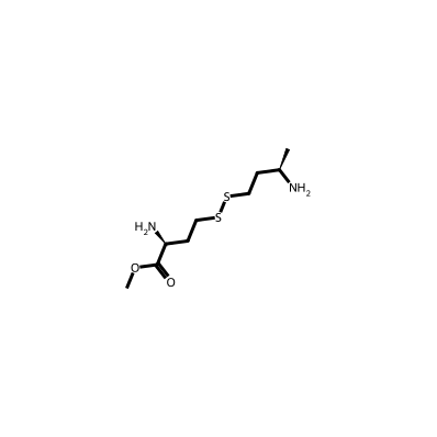 COC(=O)[C@@H](N)CCSSCC[C@@H](C)N